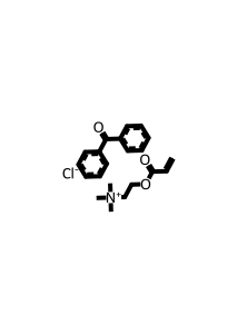 C=CC(=O)OCC[N+](C)(C)C.O=C(c1ccccc1)c1ccccc1.[Cl-]